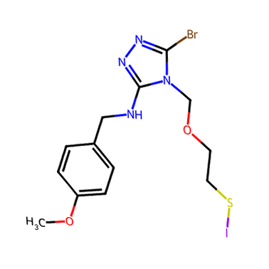 COc1ccc(CNc2nnc(Br)n2COCCSI)cc1